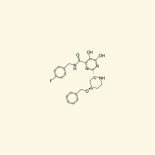 O=C(NCc1ccc(F)cc1)c1nc([C@H]2C[C@H](OCc3ccccc3)CCN2)nc(O)c1O